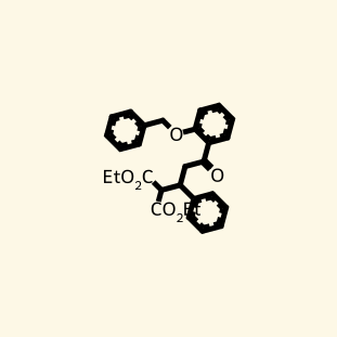 CCOC(=O)C(C(=O)OCC)C(CC(=O)c1ccccc1OCc1ccccc1)c1ccccc1